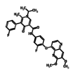 COc1cc2nccc(Oc3ccc(NC(=O)c4cn(C(C)C)c(C)c(-c5cccc(F)c5)c4=O)cc3F)c2nc1OC